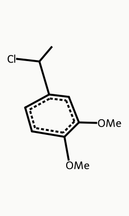 COc1ccc(C(C)Cl)cc1OC